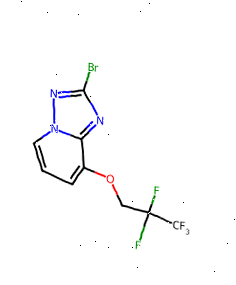 FC(F)(F)C(F)(F)COc1cccn2nc(Br)nc12